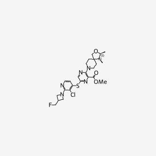 COC(=O)c1nc(Sc2ccnc(N3CC(CF)C3)c2Cl)cnc1N1CCC2(CC1)CO[C@@H](C)[C@H]2C